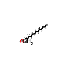 CCCCCCCCCCCCC[SiH2][O]